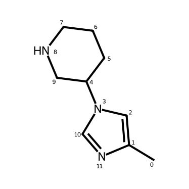 Cc1cn(C2CCCNC2)cn1